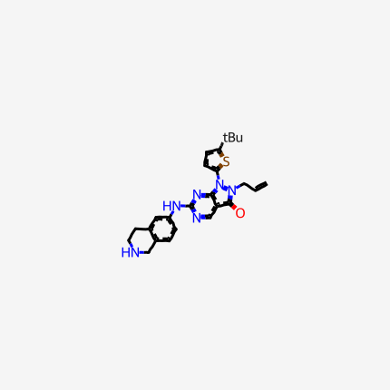 C=CCn1c(=O)c2cnc(Nc3ccc4c(c3)CCNC4)nc2n1-c1ccc(C(C)(C)C)s1